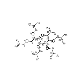 C=C(C)COC[C@@H](OCC(=C)C)[C@@H](OCC(=C)C)[C@H](OCC(=C)C)[C@@H](COCC(=C)C)OCC(=C)C